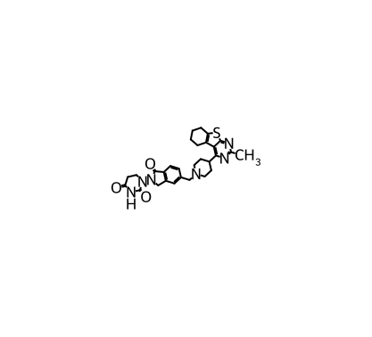 Cc1nc(C2CCN(Cc3ccc4c(c3)CN(N3CCC(=O)NC3=O)C4=O)CC2)c2c3c(sc2n1)CCCC3